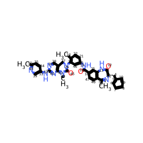 CC1=N[C@@H](Cc2ccccc2)C(=O)Nc2cc(C(=O)Nc3ccc(C)c(N4Cc5cnc(Nc6ccc(C)nc6)nc5N(C)C4=O)c3)ccc21